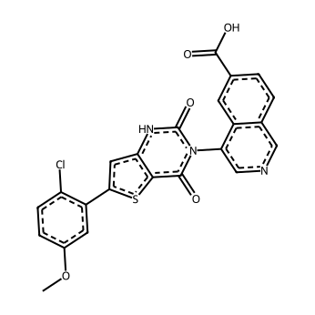 COc1ccc(Cl)c(-c2cc3[nH]c(=O)n(-c4cncc5ccc(C(=O)O)cc45)c(=O)c3s2)c1